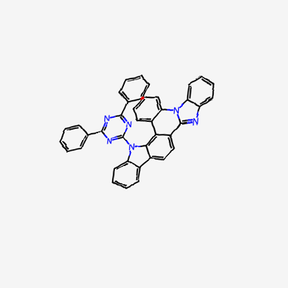 c1ccc(-c2nc(-c3ccccc3)nc(-n3c4ccccc4c4ccc5c(c6ccccc6n6c7ccccc7nc56)c43)n2)cc1